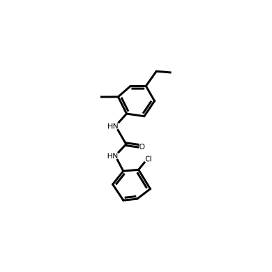 CCc1ccc(NC(=O)Nc2ccccc2Cl)c(C)c1